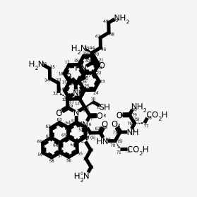 NCCCC[C@H](NC(=O)[C@@](CS)(c1ccc2ccc3cccc4ccc1c2c34)N(C(=O)[C@H](CCCCN)NC(=O)CNC(=O)[C@@H](N)CCCCN)c1ccc2ccc3cccc4ccc1c2c34)C(=O)N[C@@H](CC(=O)O)C(=O)N[C@@H](CC(=O)O)C(N)=O